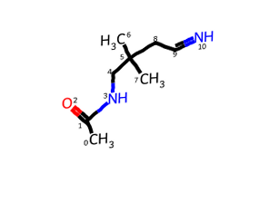 CC(=O)NCC(C)(C)CC=N